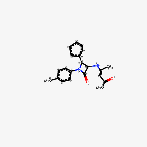 COC(=O)C=C(C)N[C@H]1C(=O)N(c2ccc(OC)cc2)[C@H]1c1ccccc1